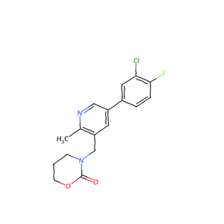 Cc1ncc(-c2ccc(F)c(Cl)c2)cc1CN1CCCOC1=O